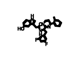 Cc1ccccc1-c1ccnc(C(Cc2cc(F)cc(F)c2)NC(=O)Cc2c[nH]c3ccc(O)cc23)n1